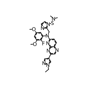 CCn1cc(-c2cnc3ccc(N(Cc4nccn4SN(C)C)c4cc(OC)cc(OC)c4F)nc3n2)cn1